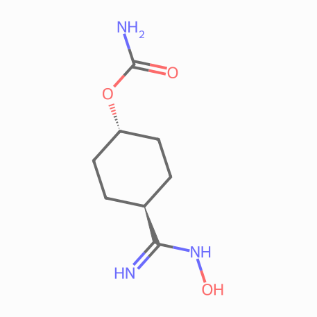 N=C(NO)[C@H]1CC[C@H](OC(N)=O)CC1